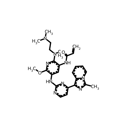 C=CC(=O)Nc1cc(Nc2nccc(-c3nc(C)n4ccccc34)n2)c(OC)nc1N(C)CCN(C)C